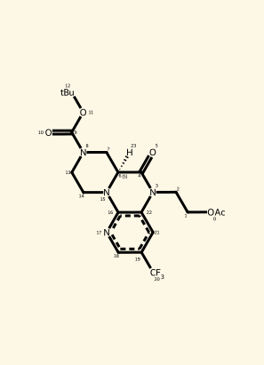 CC(=O)OCCN1C(=O)[C@@H]2CN(C(=O)OC(C)(C)C)CCN2c2ncc(C(F)(F)F)cc21